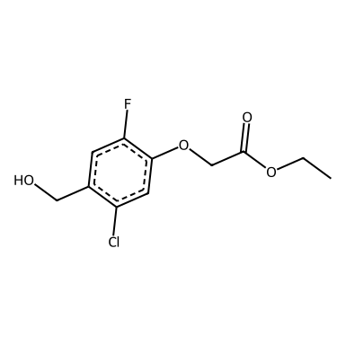 CCOC(=O)COc1cc(Cl)c(CO)cc1F